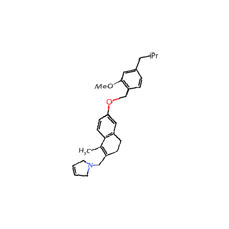 COc1cc(CC(C)C)ccc1COc1ccc2c(c1)CCC(CN1CC=CC1)=C2C